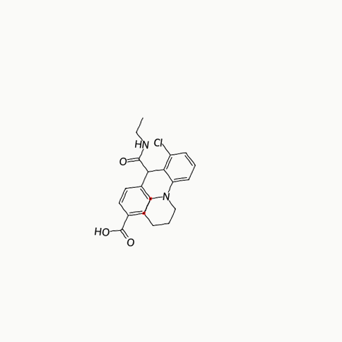 CCNC(=O)C(c1ccc(C(=O)O)cc1)c1c(Cl)cccc1N1CCCCC1